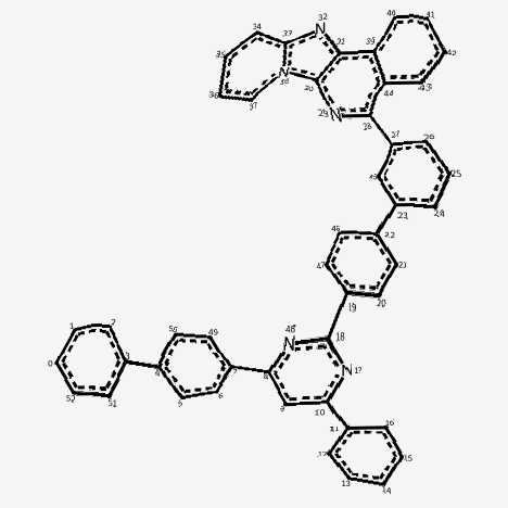 c1ccc(-c2ccc(-c3cc(-c4ccccc4)nc(-c4ccc(-c5cccc(-c6nc7c(nc8ccccn87)c7ccccc67)c5)cc4)n3)cc2)cc1